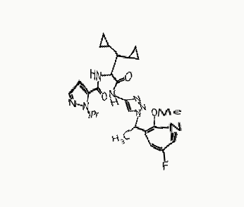 COc1ncc(F)cc1C(C)n1cc(NC(=O)C(NC(=O)c2ccnn2C(C)C)C(C2CC2)C2CC2)nn1